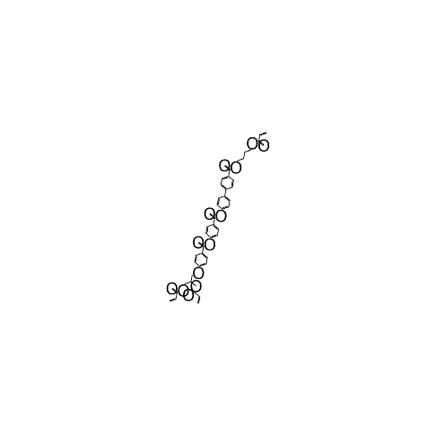 C=CC(=O)OCCCCOC(=O)c1ccc(-c2ccc(OC(=O)c3ccc(OC(=O)c4ccc(OCC(COC(=O)C=C)OC(=O)C=C)cc4)cc3)cc2)cc1